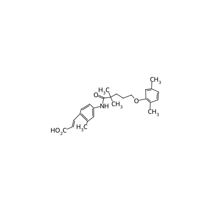 Cc1ccc(C)c(OCCCC(C)(C)C(=O)Nc2ccc(/C=C/C(=O)O)c(C)c2)c1